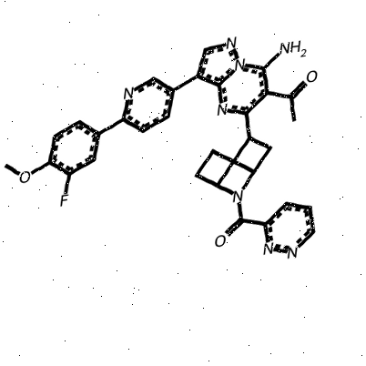 COc1ccc(-c2ccc(-c3cnn4c(N)c(C(C)=O)c(C5CC6N(C(=O)c7cccnn7)C7CCC576)nc34)cn2)cc1F